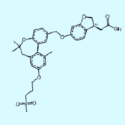 Cc1cc(OCCCS(C)(=O)=O)cc2c1-c1cc(COc3ccc4c(c3)OC[C@H]4CC(=O)O)ccc1OC(C)(C)C2